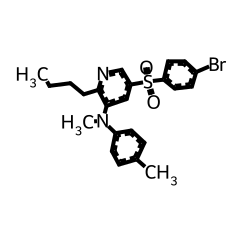 CCCCc1ncc(S(=O)(=O)c2ccc(Br)cc2)cc1N(C)c1ccc(C)cc1